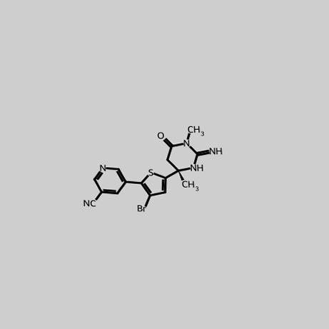 CN1C(=N)N[C@](C)(c2cc(Br)c(-c3cncc(C#N)c3)s2)CC1=O